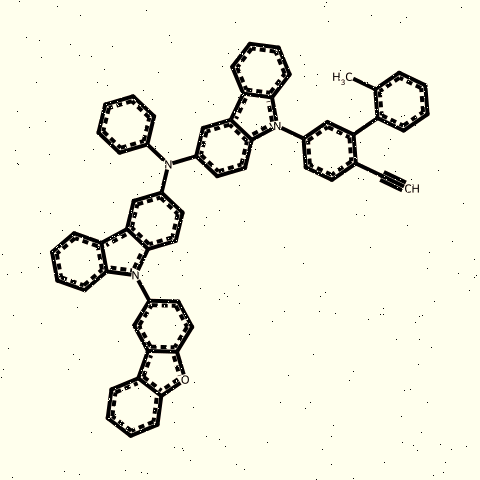 C#Cc1ccc(-n2c3ccccc3c3cc(N(c4ccccc4)c4ccc5c(c4)c4ccccc4n5-c4ccc5oc6ccccc6c5c4)ccc32)cc1-c1ccccc1C